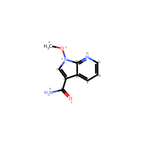 COn1cc(C(N)=O)c2cccnc21